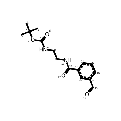 CC(C)(C)OC(=O)NCCNC(=O)c1cccc(C=O)c1